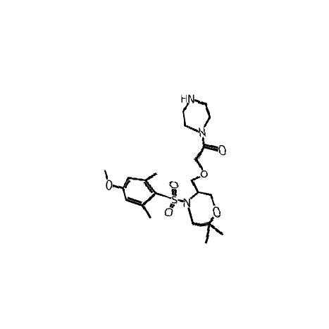 COc1cc(C)c(S(=O)(=O)N2CC(C)(C)OCC2COCC(=O)N2CCNCC2)c(C)c1